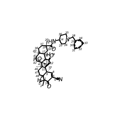 CC1(C)C(=O)C(C#N)=C[C@]2(C)C3=CC(=O)[C@]4(O)[C@@H]5C[C@@](C)(C(=O)NC6CCN(Cc7ccccc7)CC6)CC[C@]5(C)CC[C@@]4(C)[C@]3(C)CC[C@@H]12